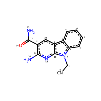 [C-]#[N+]Cn1c2ccccc2c2cc(C(N)=O)c(N)nc21